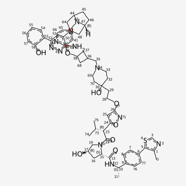 Cc1ncsc1-c1ccc([C@H](C)NC(=O)[C@@H]2C[C@@H](O)CN2C(=O)[C@@H](c2cc(OCCC3(O)CCN(CC4CC(Oc5cc(N6C7CC[C@@H]6CN(c6cc(-c8ccccc8O)nnc6N)C7)ccn5)C4)CC3)no2)C(C)C)cc1